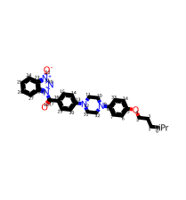 CC(C)CCCOc1ccc(N2CCN(c3ccc(C(=O)n4n[n+]([O-])c5ccccc54)cc3)CC2)cc1